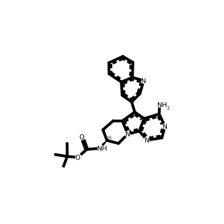 CC(C)(C)OC(=O)N[C@H]1C[CH]c2c(-c3cnc4ccccc4c3)c3c(N)ncnc3n2C1